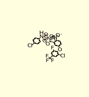 O=C(NS(=O)(=O)Nc1ccc(Cl)cc1)c1cc(Oc2c(F)cc(C(F)(F)F)cc2Cl)ccc1[N+](=O)[O-]